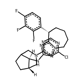 Fc1ccc([C@@H]2CCCCn3nc(N[C@@H]4C5CC[C@H]4CN(c4cc(Cl)ncn4)C5)nc32)c(F)c1F